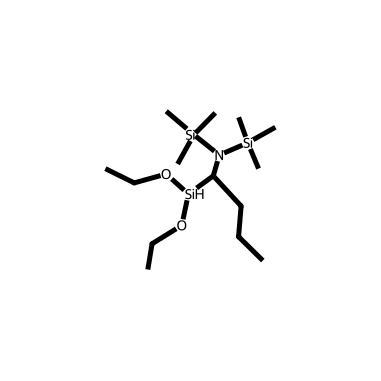 CCCC(N([Si](C)(C)C)[Si](C)(C)C)[SiH](OCC)OCC